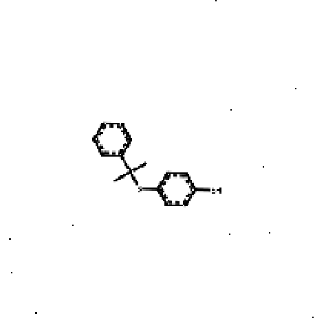 CC(C)(Sc1ccc(S)cc1)c1ccccc1